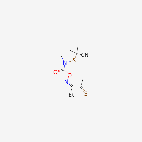 CCC(=NOC(=O)N(C)SC(C)(C)C#N)C(C)=S